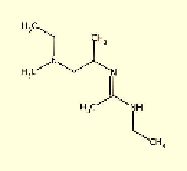 CCN/C(C)=N/C(C)CN(C)CC